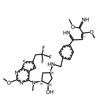 COC(=N)/C(=C\C(=N)c1ccc(CN[C@H]2C[C@@H](O)[C@@H](N(C)c3nc(OC)nc4sc(CC(F)(F)F)cc34)C2)cc1)OC